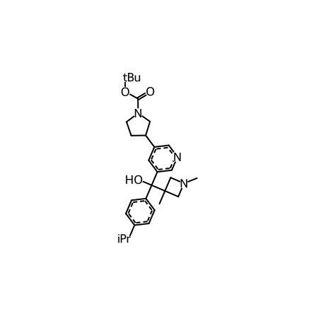 CC(C)c1ccc(C(O)(c2cncc(C3CCN(C(=O)OC(C)(C)C)C3)c2)C2(C)CN(C)C2)cc1